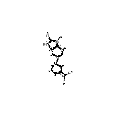 Cn1c(=O)[nH]c2cc(-c3cccc(C(F)F)c3)cnc21